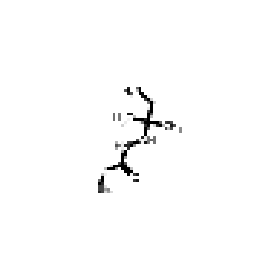 CC(C)(CN)NNC(=O)OC(C)(C)C